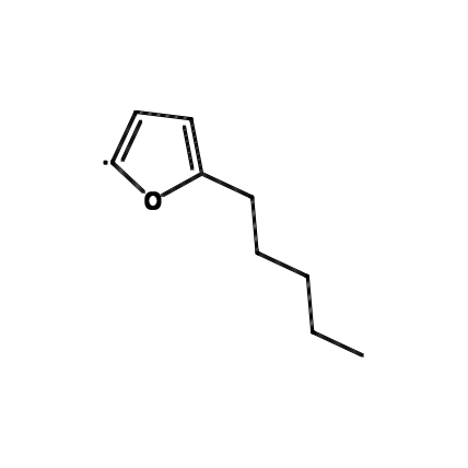 CCCCCc1cc[c]o1